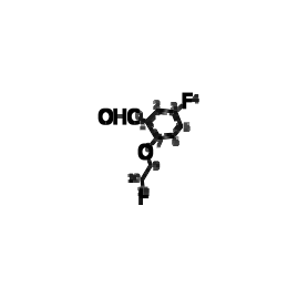 O=Cc1cc(F)ccc1OCCF